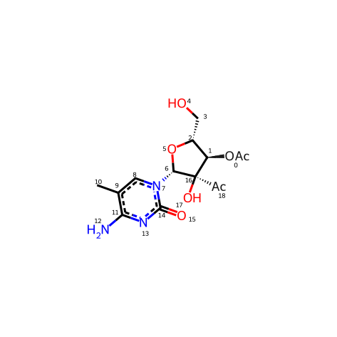 CC(=O)O[C@@H]1[C@@H](CO)O[C@@H](n2cc(C)c(N)nc2=O)[C@@]1(O)C(C)=O